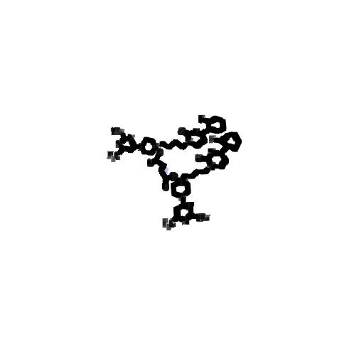 CC(C)(C)c1nc(N2CC[N+](CCCCn3ccc(-c4ccccc4F)nc3=O)(OC(=O)/C=C/C(=O)O[N+]3(CCCCn4ccc(-c5ccccc5F)nc4=O)CCN(c4cc(C(F)(F)F)nc(C(C)(C)C)n4)CC3)CC2)cc(C(F)(F)F)n1